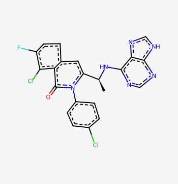 C[C@H](Nc1ncnc2[nH]cnc12)c1cc2ccc(F)c(Cl)c2c(=O)n1-c1ccc(Cl)cc1